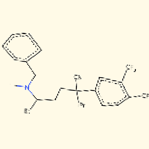 CCC(CCC(C#N)(c1ccc(C(F)(F)F)c(C(F)(F)F)c1)C(C)C)N(C)Cc1ccccc1